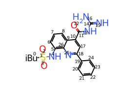 CCC(C)S(=O)(=O)Nc1cccc2c(C(=O)NC(=N)N)cc(-c3ccccc3)nc12